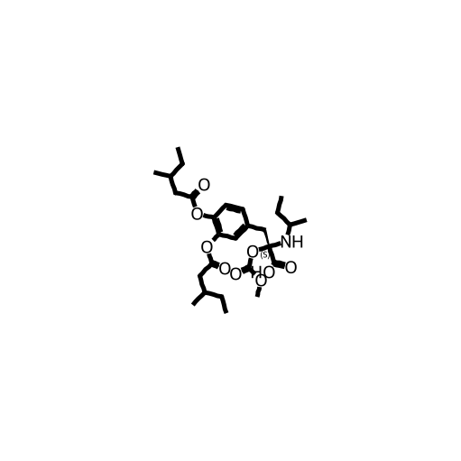 CCC(C)CC(=O)Oc1ccc(C[C@](NC(C)CC)(OC(=O)OC)C(=O)O)cc1OC(=O)CC(C)CC